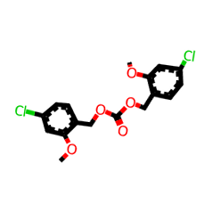 COc1cc(Cl)ccc1COC(=O)OCc1ccc(Cl)cc1OC